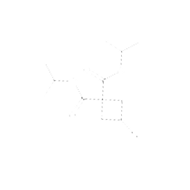 CC(C)OC(=O)C1(C(=O)OC(C)C)CC(N)C1